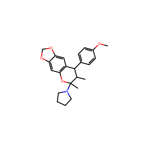 COc1ccc(C2c3cc4c(cc3OC(C)(N3CCCC3)C2C)OCO4)cc1